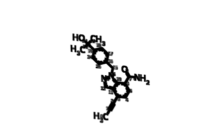 CC#Cc1ccc(C(N)=O)c2c1cnn2Cc1ccc(C(C)(C)O)cc1